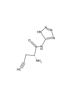 C#CC[C@@H](N)C(=O)Nc1nnn[nH]1